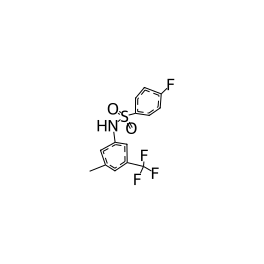 Cc1cc(NS(=O)(=O)c2ccc(F)cc2)cc(C(F)(F)F)c1